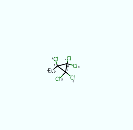 C[CH]C1(Cl)C(Cl)(Cl)C1(Cl)Cl